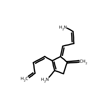 C=C/C=C\C1=C(N)CC(=C)/C1=C\C=C/N